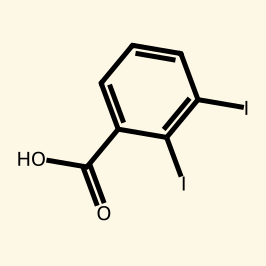 O=C(O)c1cccc(I)c1I